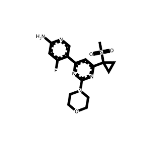 CS(=O)(=O)C1(c2cc(-c3cnc(N)cc3F)nc(N3CCOCC3)n2)CC1